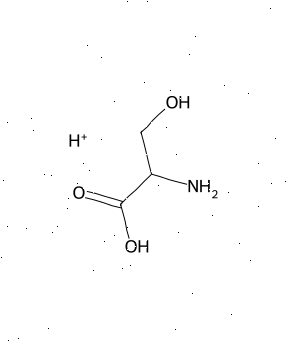 NC(CO)C(=O)O.[H+]